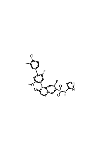 COc1cc(-c2ccc(Cl)c(C)c2)c(F)cc1-n1c(=O)ccc2cc(S(=O)(=O)Nc3ccon3)c(F)cc21